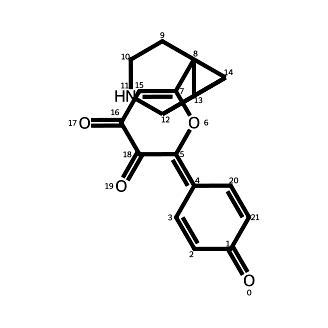 O=C1C=CC(=C2OC(C34CCNC5C3C54)=CC(=O)C2=O)C=C1